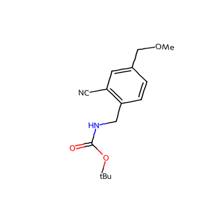 COCc1ccc(CNC(=O)OC(C)(C)C)c(C#N)c1